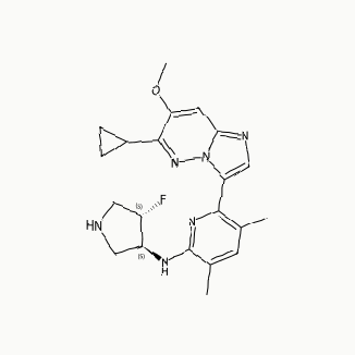 COc1cc2ncc(-c3nc(N[C@H]4CNC[C@@H]4F)c(C)cc3C)n2nc1C1CC1